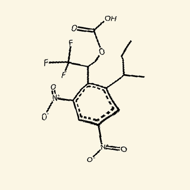 CCC(C)c1cc([N+](=O)[O-])cc([N+](=O)[O-])c1C(OC(=O)O)C(F)(F)F